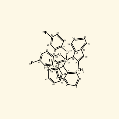 CC1=Cc2ccccc2[CH]1[Zr]([O]c1ccc(F)cc1)([O]c1ccc(F)cc1)([CH]1C(C)=Cc2ccccc21)=[Si](C)c1ccccc1